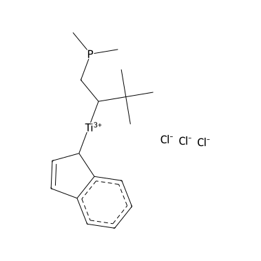 CP(C)C[CH]([Ti+3][CH]1C=Cc2ccccc21)C(C)(C)C.[Cl-].[Cl-].[Cl-]